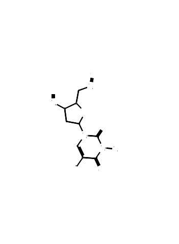 Nn1c(=O)c(I)cn(C2CC(N=O)C(CN=O)O2)c1=O